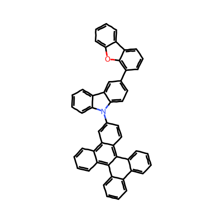 c1ccc2c(c1)oc1c(-c3ccc4c(c3)c3ccccc3n4-c3ccc4c(c3)c3ccccc3c3c5ccccc5c5ccccc5c43)cccc12